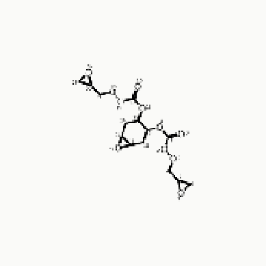 O=C(OOCC1CO1)OC1CC2OC2CC1OC(=O)OOCC1CO1